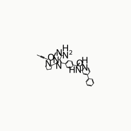 CC#CC(=O)N1CCCC1c1nc(-c2ccc(C(=O)NC3C=C(c4ccccc4)C=CN3)cc2)c2c(N)nccn12